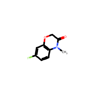 CN1C(=O)COc2cc(F)ccc21